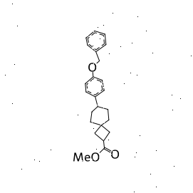 COC(=O)C1CC2(CCC(c3ccc(OCc4ccccc4)cc3)CC2)C1